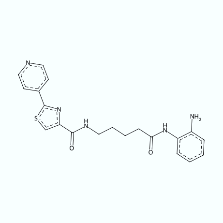 Nc1ccccc1NC(=O)CCCCNC(=O)c1csc(-c2ccncc2)n1